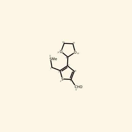 CSCc1sc(C=O)cc1C1OCCO1